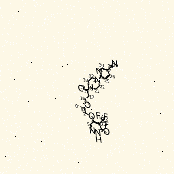 C[C@@H](COc1cn[nH]c(=O)c1C(F)(F)F)OCCC(=O)N1CCN(c2ccc(C#N)cn2)CC1